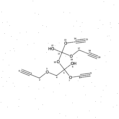 C#CCOCC(O)(OC#C)OC(O)(OC#C)OCC#C